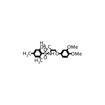 COc1ccc(OC[C@H](C)NS(=O)(=O)c2c(C)cc(C)cc2C)cc1OC